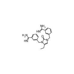 CCc1cn(Cc2cccc(C(=N)N)c2)c(=O)n1Cc1cccc(C(=N)N)c1